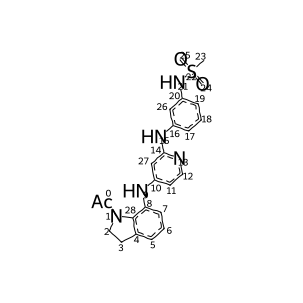 CC(=O)N1CCc2cccc(Nc3ccnc(Nc4cccc(NS(C)(=O)=O)c4)c3)c21